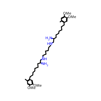 COc1cc(C)c(CCCCCCCC(N)CNCCCCCCNCC(N)CCCCCCCc2cc(OC)c(OC)cc2C)cc1OC